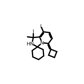 CC1(I)NC2(CCCCC2)N2C(=C3CCC3)C=CC(I)=C21